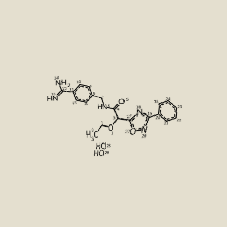 CCOC(C(=O)NCc1ccc(C(=N)N)cc1)c1nc(-c2ccccc2)no1.Cl.Cl